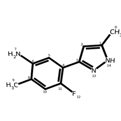 Cc1cc(-c2cc(N)c(C)cc2F)n[nH]1